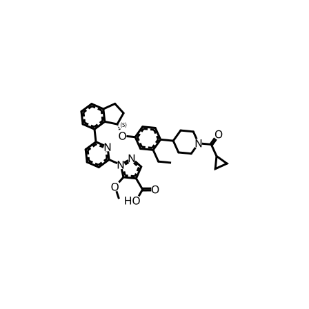 CCc1cc(O[C@H]2CCc3cccc(-c4cccc(-n5ncc(C(=O)O)c5OC)n4)c32)ccc1C1CCN(C(=O)C2CC2)CC1